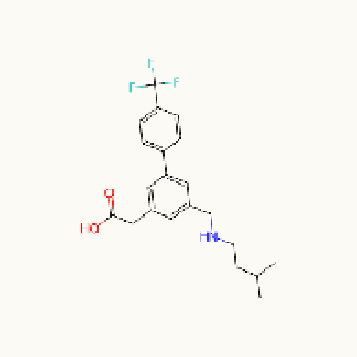 CC(C)CCNCc1cc(CC(=O)O)cc(-c2ccc(C(F)(F)F)cc2)c1